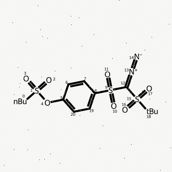 CCCCS(=O)(=O)Oc1ccc(S(=O)(=O)C(=[N+]=[N-])S(=O)(=O)C(C)(C)C)cc1